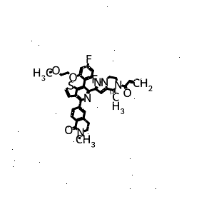 C=CC(=O)N1CCn2nc(-c3nc(-c4ccc5c(c4)CCN(C)C5=O)c4ccsc4c3-c3c(F)cc(F)cc3OCCOC)cc2[C@@H]1C